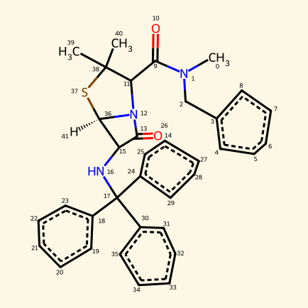 CN(Cc1ccccc1)C(=O)C1N2C(=O)C(NC(c3ccccc3)(c3ccccc3)c3ccccc3)[C@H]2SC1(C)C